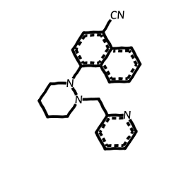 N#Cc1ccc(N2CCCCN2Cc2ccccn2)c2ccccc12